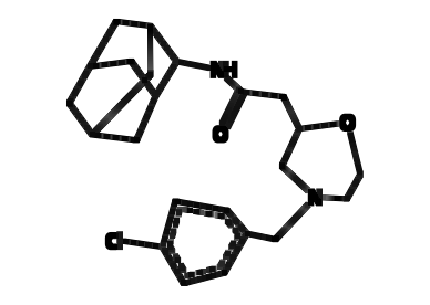 O=C(CC1CN(Cc2ccc(Cl)cc2)CCO1)NC1C2CC3CC(C2)CC1C3